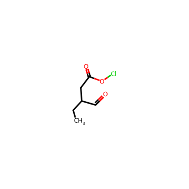 CCC(C=O)CC(=O)OCl